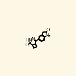 CN1C(=O)Cc2cc(C3=NNC(=O)C4CCC34)ccc21